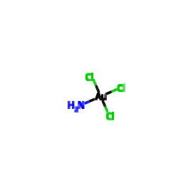 [NH2][Au]([Cl])([Cl])[Cl]